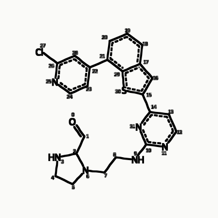 O=CC1NCCN1CCNc1nccc(-c2cc3cccc(-c4ccnc(Cl)c4)c3s2)n1